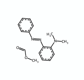 CN(C)c1ccccc1N=Nc1ccccc1.COC=O